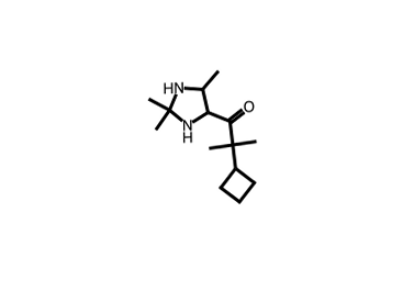 CC1NC(C)(C)NC1C(=O)C(C)(C)C1CCC1